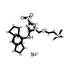 C[Si](C)(C)CCOCn1nc(S(=O)[O-])nc1Nc1c2c(cc3c1CCC3)CCC2.[Na+]